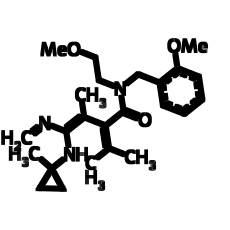 C=N/C(NC1(C)CC1)=C(\C)C(C(=O)N(CCOC)Cc1ccccc1OC)=C(C)C